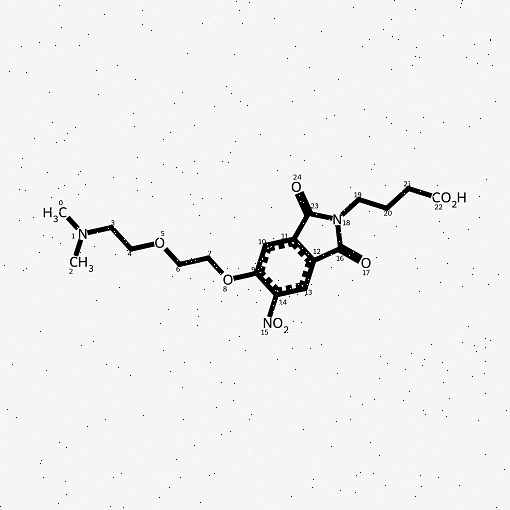 CN(C)CCOCCOc1cc2c(cc1[N+](=O)[O-])C(=O)N(CCCC(=O)O)C2=O